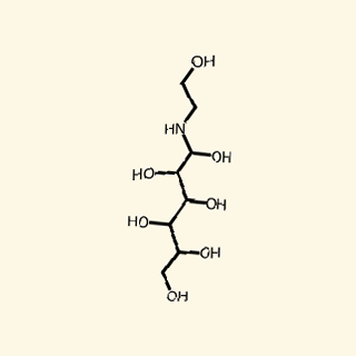 OCCNC(O)C(O)C(O)C(O)C(O)CO